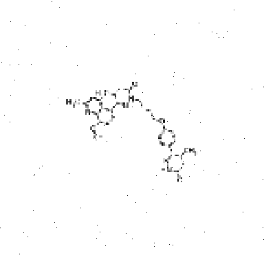 COc1ccc(C2=NN(CCCCOc3ccc(C4=NNC(=O)CC4C)cc3)C(=O)CC2C)c2ccc(C)nc12